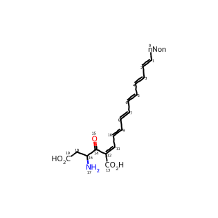 CCCCCCCCCC=CC=CC=CC=CC=CC=C(C(=O)O)C(=O)C(N)CC(=O)O